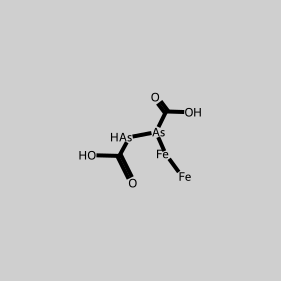 O=C(O)[AsH][As]([Fe][Fe])C(=O)O